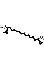 CCOC(=O)C(CCCCCCCCCCCCC(C(=O)O)C1CC1)C1CC1